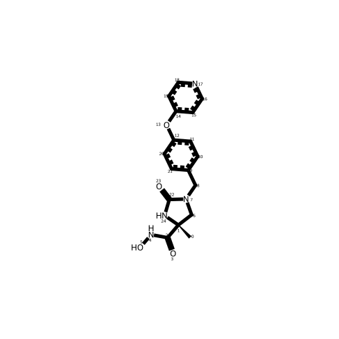 C[C@]1(C(=O)NO)CN(Cc2ccc(Oc3ccncc3)cc2)C(=O)N1